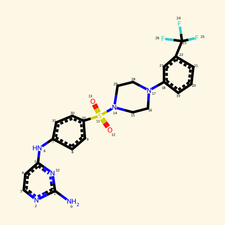 Nc1nccc(Nc2ccc(S(=O)(=O)N3CCN(c4cccc(C(F)(F)F)c4)CC3)cc2)n1